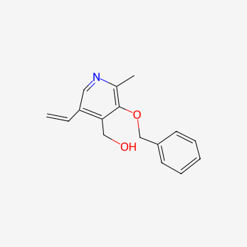 C=Cc1cnc(C)c(OCc2ccccc2)c1CO